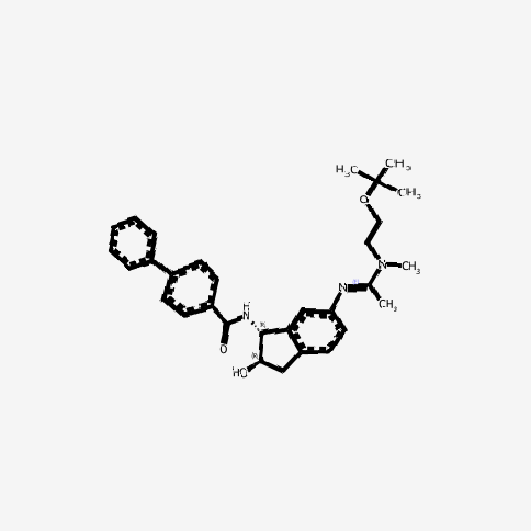 C/C(=N\c1ccc2c(c1)[C@@H](NC(=O)c1ccc(-c3ccccc3)cc1)[C@H](O)C2)N(C)CCOC(C)(C)C